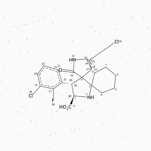 O=C(O)[C@@H]1NC2(CCCCC2)C2(C(=O)Nc3cc(Cl)ccc32)[C@H]1c1cccc(Cl)c1F